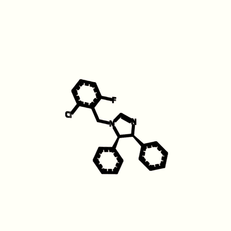 Fc1cccc(Cl)c1CN1C=N[C@@H](c2ccccc2)[C@H]1c1ccccc1